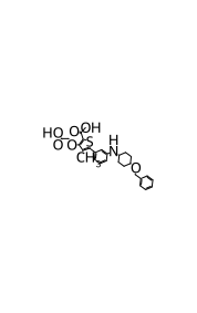 Cc1c(-c2cccc(N[C@H]3CC[C@H](OCc4ccccc4)CC3)c2)sc(C(=O)O)c1OCC(=O)O